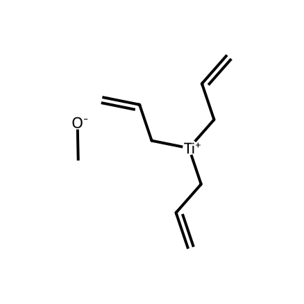 C=C[CH2][Ti+]([CH2]C=C)[CH2]C=C.C[O-]